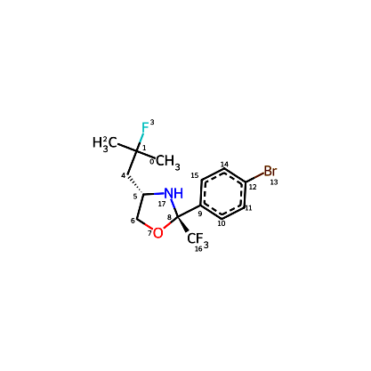 CC(C)(F)C[C@H]1CO[C@](c2ccc(Br)cc2)(C(F)(F)F)N1